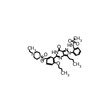 CCCOc1ccc(S(=O)(=O)N2CCN(CC)CC2)cc1-c1nc2c(CCC)n(-c3ccccc3NS(C)(=O)=O)nc2c(=O)[nH]1